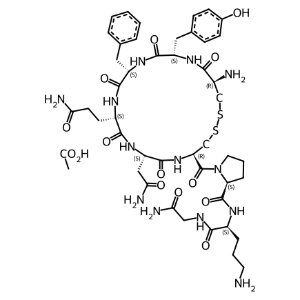 CC(=O)O.NCCC[C@H](NC(=O)[C@@H]1CCCN1C(=O)[C@@H]1CSSC[C@H](N)C(=O)N[C@@H](Cc2ccc(O)cc2)C(=O)N[C@@H](Cc2ccccc2)C(=O)N[C@@H](CCC(N)=O)C(=O)N[C@@H](CC(N)=O)C(=O)N1)C(=O)NCC(N)=O